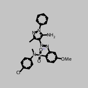 COc1ccc(S(=O)(=O)N(C)c2ccc(Cl)cc2)c(/N=N/c2c(C)nn(-c3ccccc3)c2N)c1